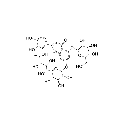 C[C@@H](O)[C@@H](O)[C@H](O)[C@@H](O)[C@H]1OC(Oc2cc(OC3O[C@H](CO)[C@@H](O)[C@H](O)[C@H]3O)c3c(=O)cc(-c4ccc(O)c(O)c4)oc3c2)[C@H](O)[C@@H](O)[C@@H]1O